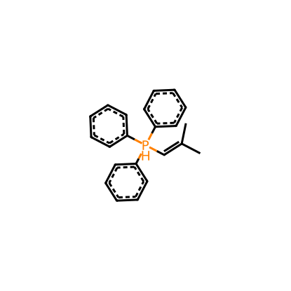 CC(C)=C[PH](c1ccccc1)(c1ccccc1)c1ccccc1